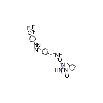 Cc1ccccc1N1C(=O)CN/C1=N\COCNC(C)Cc1ccc(-c2ncn(-c3ccc(OC(F)(F)F)cc3)n2)cc1